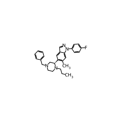 CCCN1CCN(Cc2ccccc2)C[C@H]1c1cc2cnn(-c3ccc(F)cc3)c2cc1C